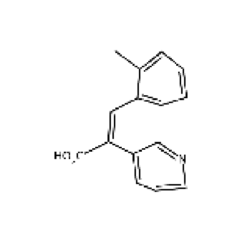 Cc1ccccc1/C=C(/C(=O)O)c1cccnc1